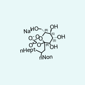 CCCCCCCCCC(CCCCCCC)CC1(OS(=O)(=O)[O-])O[C@H](CO)[C@@H](O)[C@H](O)[C@H]1O.[Na+]